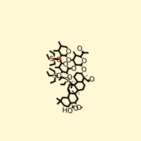 CCC1OC(OC2C(O[C@H]3CC[C@@]4(C)C(CC[C@]5(C)C4CC=C4C6CC(C)(C)CC[C@]6(C(=O)O)[C@H](OC)C[C@]45C)[C@]3(C)C=O)OC(C(C)=O)C(C)C2OC2OCC(C)C(C)C2O[Si](CC)(CC)CC)C(O[Si](CC)(CC)CC)C(O[Si](CC)(CC)CC)C1C